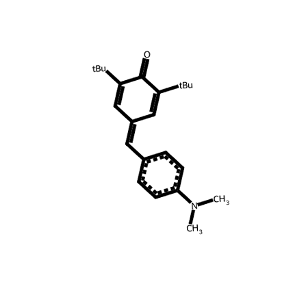 CN(C)c1ccc(C=C2C=C(C(C)(C)C)C(=O)C(C(C)(C)C)=C2)cc1